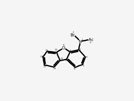 CC(=O)N(Br)c1cccc2c1oc1ccccc12